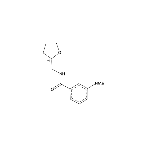 CNc1cccc(C(=O)NC[C@@H]2CCCO2)c1